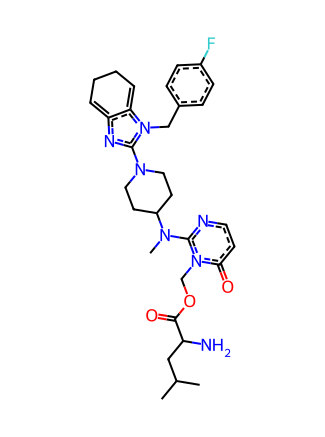 CC(C)CC(N)C(=O)OCn1c(N(C)C2CCN(c3nc4c(n3Cc3ccc(F)cc3)=CCCC=4)CC2)nccc1=O